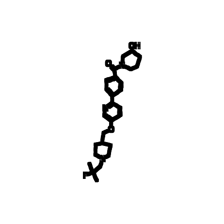 CC(C)(F)CN1CCC(COc2ccc(-c3ccc(C(=O)N4CCCC(O)C4)cc3)nc2)CC1